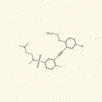 Cc1ccc(S(=O)(=O)N(C)CCN(C)C)cc1C#Cc1cc(Cl)ccc1OCC(=O)O